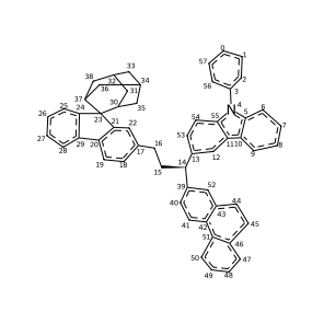 c1ccc(-n2c3ccccc3c3cc([C@H](CCc4ccc5c(c4)C4(c6ccccc6-5)C5CC6CC(C5)CC4C6)c4ccc5c(ccc6ccccc65)c4)ccc32)cc1